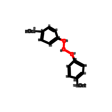 CCCCCCCCc1ccc(OOOc2ccc(CCCCCCCC)cc2)cc1